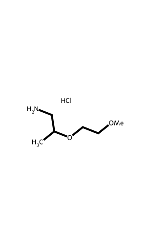 COCCOC(C)CN.Cl